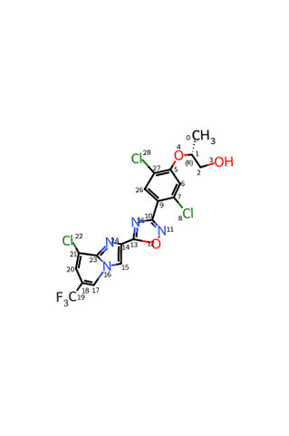 C[C@H](CO)Oc1cc(Cl)c(-c2noc(-c3cn4cc(C(F)(F)F)cc(Cl)c4n3)n2)cc1Cl